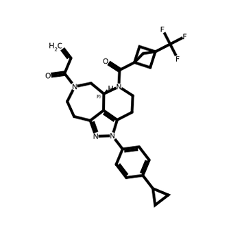 C=CC(=O)N1CCc2nn(-c3ccc(C4CC4)cc3)c3c2[C@H](C1)N(C(=O)C12CC(C(F)(F)F)(C1)C2)CC3